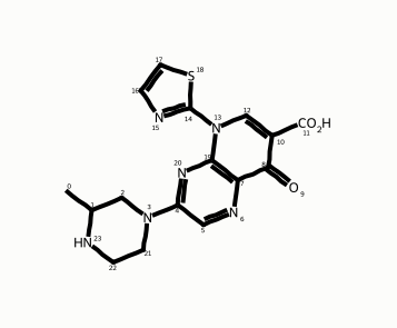 CC1CN(c2cnc3c(=O)c(C(=O)O)cn(-c4nccs4)c3n2)CCN1